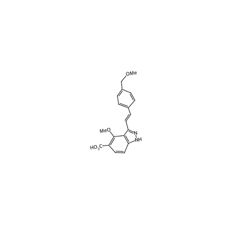 COCc1ccc(C=Cc2n[nH]c3ccc(C(=O)O)c(OC)c23)cc1